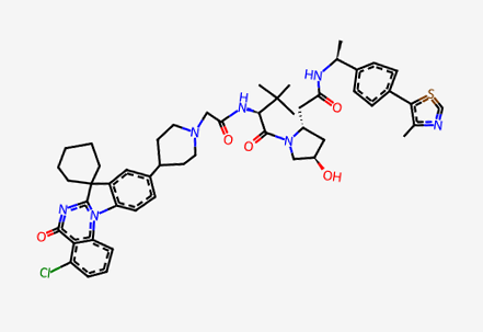 Cc1ncsc1-c1ccc([C@H](C)NC(=O)C[C@@H]2C[C@@H](O)CN2C(=O)[C@@H](NC(=O)CN2CCC(c3ccc4c(c3)C3(CCCCC3)c3nc(=O)c5c(Cl)cccc5n3-4)CC2)C(C)(C)C)cc1